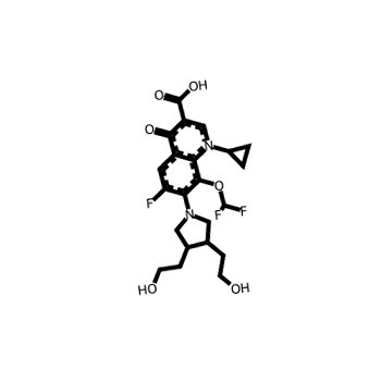 O=C(O)c1cn(C2CC2)c2c(OC(F)F)c(N3CC(CCO)C(CCO)C3)c(F)cc2c1=O